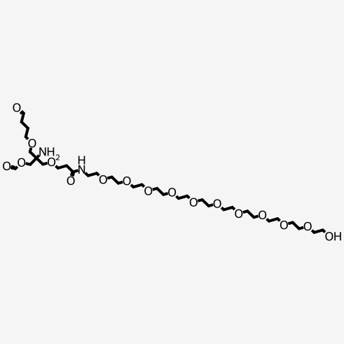 NC(COC=O)(COCCCC=O)COCCC(=O)NCCOCCOCCOCCOCCOCCOCCOCCOCCOCCOCCO